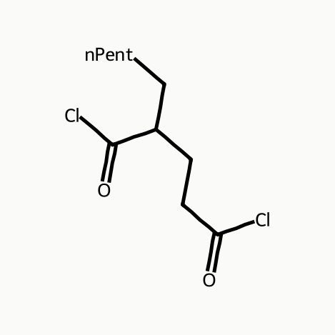 CCCCCCC(CCC(=O)Cl)C(=O)Cl